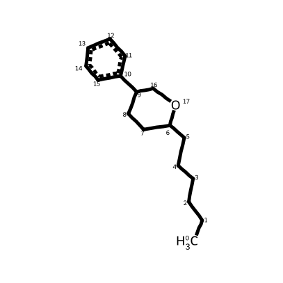 CCCCCCC1CCC(c2ccccc2)CO1